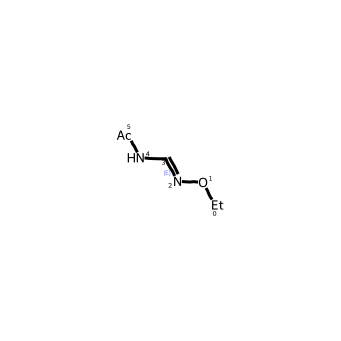 CCO/N=C/NC(C)=O